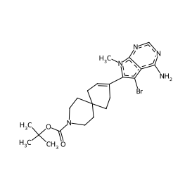 Cn1c(C2=CCC3(CC2)CCN(C(=O)OC(C)(C)C)CC3)c(Br)c2c(N)ncnc21